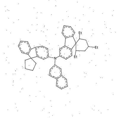 CCC1CC(CC)C2(c3ccccc3-c3cc(N(c4ccc5c(c4)C4(CCCC4)c4ccccc4-5)c4ccc5ccccc5c4)ccc32)C(CC)C1